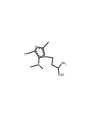 Cc1nc(Cl)c(N(C)C)n1CCC(N)C=O